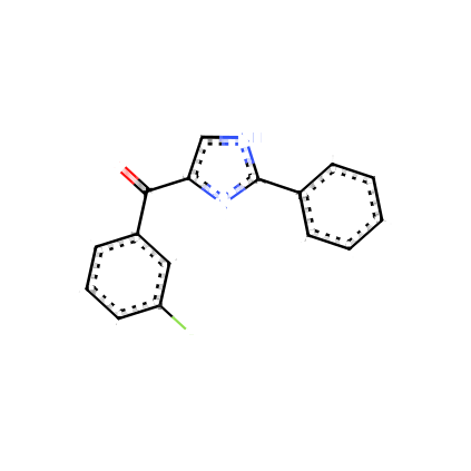 O=C(c1cccc(F)c1)c1c[nH]c(-c2ccccc2)n1